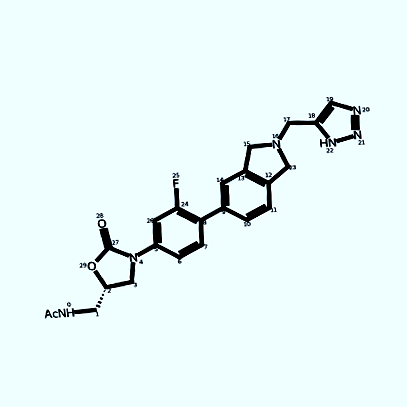 CC(=O)NC[C@H]1CN(c2ccc(-c3ccc4c(c3)CN(Cc3cnn[nH]3)C4)c(F)c2)C(=O)O1